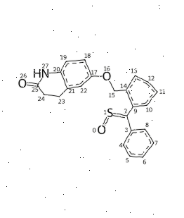 O=S=C(c1ccccc1)c1ccccc1COc1ccc2c(c1)CCC(=O)N2